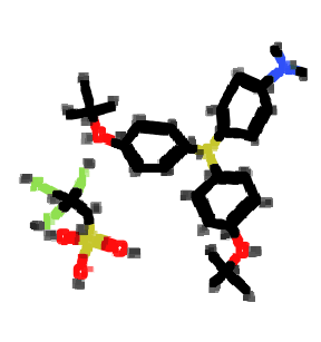 CN(C)c1ccc([S+](c2ccc(OC(C)(C)C)cc2)c2ccc(OC(C)(C)C)cc2)cc1.O=S(=O)([O-])CC(F)(F)F